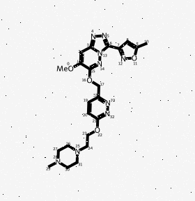 COc1cc2nnc(-c3cc(C)on3)n2nc1OCc1ccc(OCCN2CCN(C)CC2)nn1